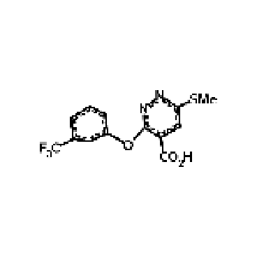 CSc1cc(C(=O)O)c(Oc2cccc(C(F)(F)F)c2)nn1